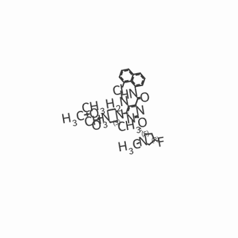 C[C@H]1CN(C(=O)OC(C)(C)C)CCN1c1nc(OC[C@@H]2C[C@@H](F)CN2C)nc(C(=O)Nc2cccc3cccc(Cl)c23)c1N